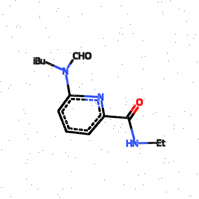 CCNC(=O)c1cccc(N(C=O)C(C)CC)n1